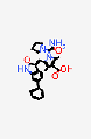 Cc1c(C(=O)O)c(C)n(C(C(N)=O)N2CCCC2)c1C=C1C(=O)Nc2cc(-c3ccccc3)ccc21